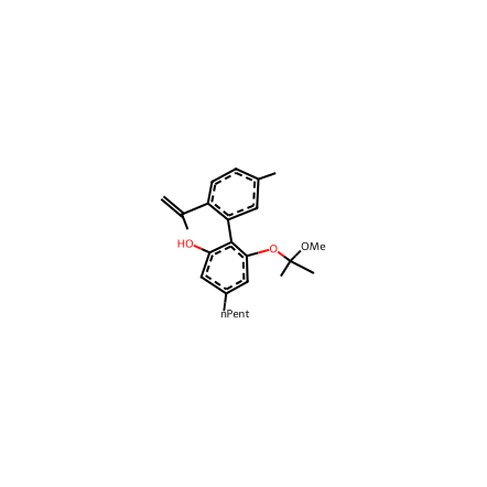 C=C(C)c1ccc(C)cc1-c1c(O)cc(CCCCC)cc1OC(C)(C)OC